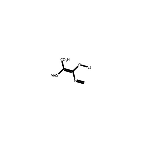 C=N/C(OCC)=C(\SC)C(=O)O